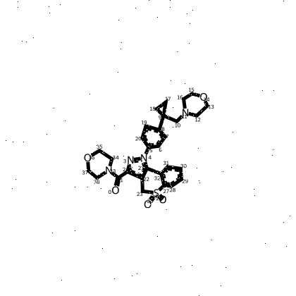 O=C(c1nn(-c2ccc(C3(CN4CCOCC4)CC3)cc2)c2c1CS(=O)(=O)c1ccccc1-2)N1CCOCC1